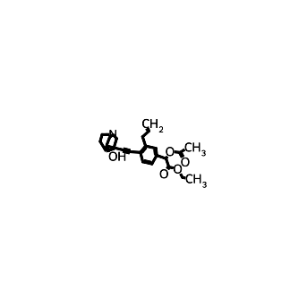 C=CCc1cc(C(OC(C)=O)C(=O)OCC)ccc1C#CC1(O)CN2CCC1CC2